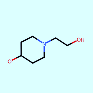 [O]C1CCN(CCO)CC1